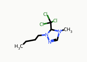 CCCCN1N=CN(C)C1C(Cl)(Cl)Cl